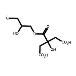 O=C(O)CC(O)(CC(=O)O)C(=O)OCC(O)CCl